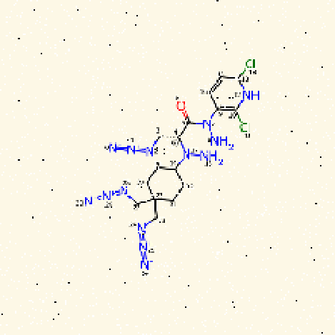 [N-]=[N+]=NC[C@H](C(=O)N(N)C1=C(Cl)NC(Cl)C=C1)N(N)C1CCC(CN=[N+]=[N-])(CN=[N+]=[N-])CC1